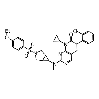 CCOc1ccc(S(=O)(=O)N2CC3C(C2)C3Nc2ncc3cc(-c4ccccc4Cl)c(=O)n(C4CC4)c3n2)cc1